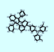 Cc1cccc(N(c2ccc(-c3ccc4c5c(cccc35)-c3c-4c(-c4ccccc4)c4ccccc4c3-c3ccccc3)cc2)c2cccc(C)c2)c1